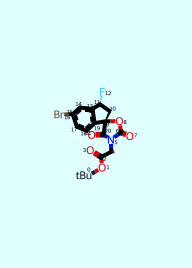 CC(C)(C)OC(=O)CN1C(=O)O[C@]2(C[C@@H](F)c3cc(Br)ccc32)C1=O